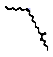 CCCCCC/C=C\CCCCCCCC(=O)OCCCC